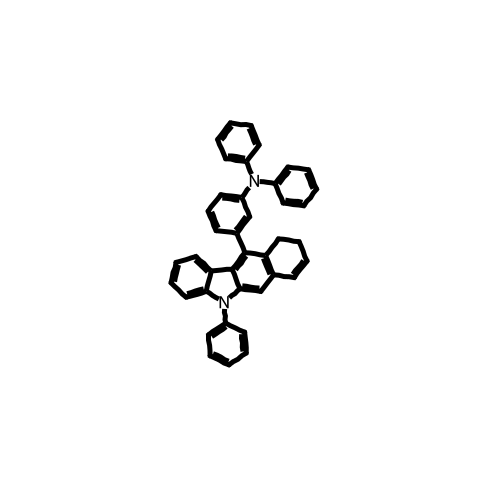 C1=Cc2cc3c(c(-c4cccc(N(c5ccccc5)c5ccccc5)c4)c2CC1)c1ccccc1n3-c1ccccc1